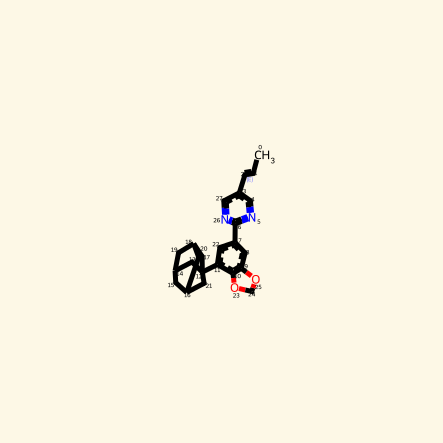 C/C=C/c1cnc(-c2cc3c(c(C45CC6CC(CC(C6)C4)C5)c2)OCO3)nc1